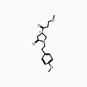 COCCC(=O)[C@@H]1CC(=O)N(CCc2ccc(OC)cc2)C1